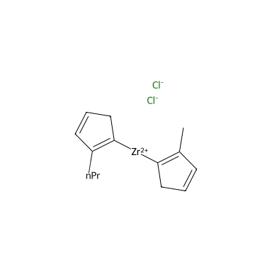 CCCC1=[C]([Zr+2][C]2=C(C)C=CC2)CC=C1.[Cl-].[Cl-]